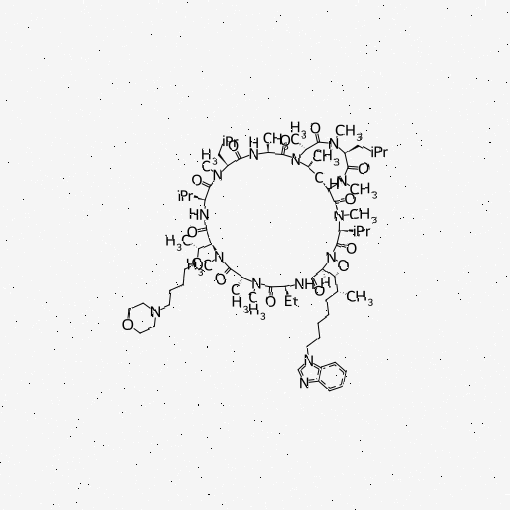 CC[C@@H]1NC(=O)[C@@H]2[C@@H]([C@H](C)CCCCCn3cnc4ccccc43)ON2C(=O)[C@H](C(C)C)N(C)C(=O)[C@@H]2CC(C)N(C(=O)[C@H](C)NC(=O)[C@H](CC(C)C)N(C)C(=O)[C@H](C(C)C)NC(=O)[C@H]([C@@H](C)OCCCCN3CCOCC3)N(C)C(=O)[C@@H](C)N(C)C1=O)[C@H](C)C(=O)N(C)[C@@H](CC(C)C)C(=O)N2C